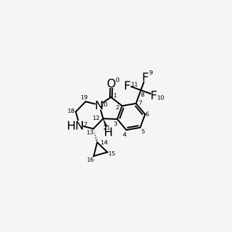 O=C1c2c(cccc2C(F)(F)F)[C@@H]2[C@H](C3CC3)NCCN12